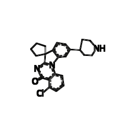 O=c1nc2n(c3cccc(Cl)c13)-c1cc(C3CCNCC3)ccc1C21CCCC1